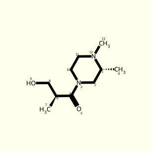 C[C@@H]1CN(C(=O)[C@@H](C)CO)CCN1C